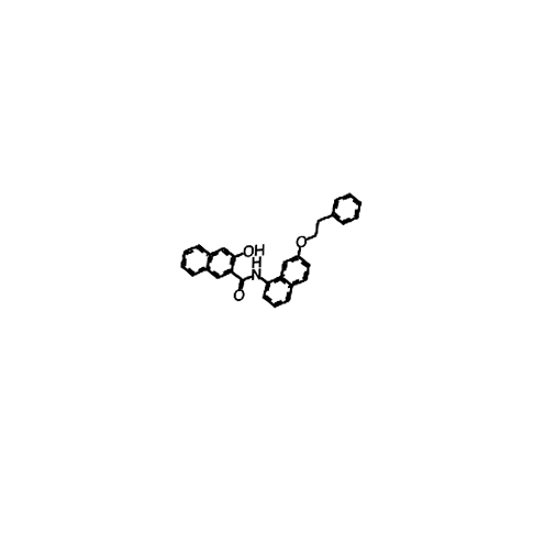 O=C(Nc1cccc2ccc(OCCc3ccccc3)cc12)c1cc2ccccc2cc1O